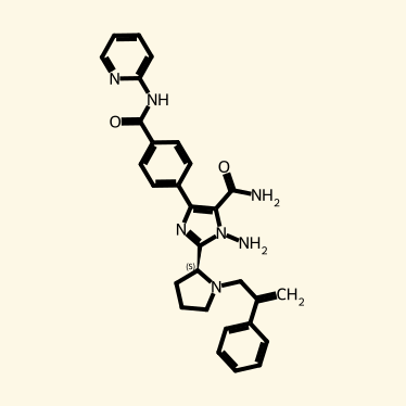 C=C(CN1CCC[C@H]1c1nc(-c2ccc(C(=O)Nc3ccccn3)cc2)c(C(N)=O)n1N)c1ccccc1